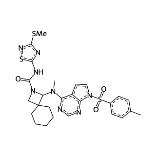 CSc1nsc(NC(=O)N2CC3(CCCCC3)C2N(C)c2ncnc3c2ccn3S(=O)(=O)c2ccc(C)cc2)n1